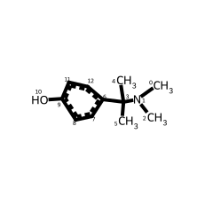 CN(C)C(C)(C)c1ccc(O)cc1